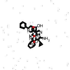 Nc1c(C2CC2)c(C2CC3CCC(C2)N3C(=O)c2nnc(N3CC[C@@H](O)C3)[nH]2)nc2c(-c3ccc(-c4ccccc4)nc3)cnn12